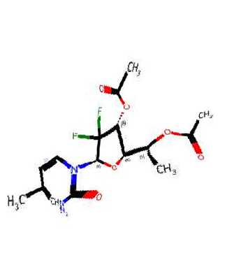 C=C(C)/C=C\N(C(N)=O)[C@@H]1O[C@H]([C@H](C)OC(C)=O)[C@@H](OC(C)=O)C1(F)F